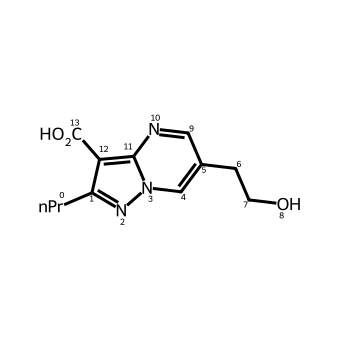 CCCc1nn2cc(CCO)cnc2c1C(=O)O